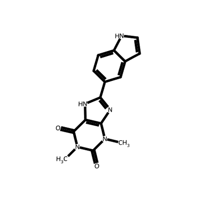 Cn1c(=O)c2[nH]c(-c3ccc4[nH]ccc4c3)nc2n(C)c1=O